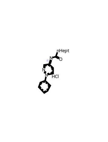 CCCCCCCC(=O)/N=c1\ccn(-c2ccccc2)nc1.Cl